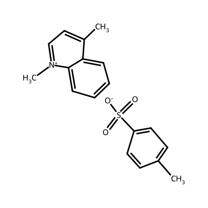 Cc1cc[n+](C)c2ccccc12.Cc1ccc(S(=O)(=O)[O-])cc1